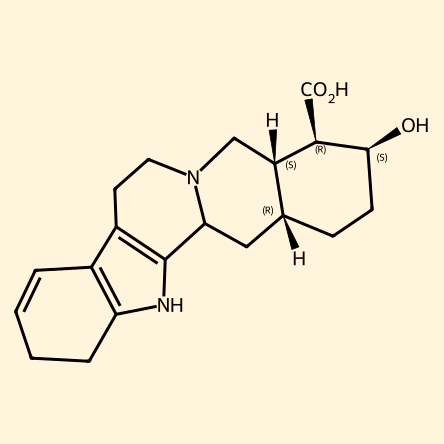 O=C(O)[C@@H]1[C@H]2CN3CCc4c([nH]c5c4C=CCC5)C3C[C@H]2CC[C@@H]1O